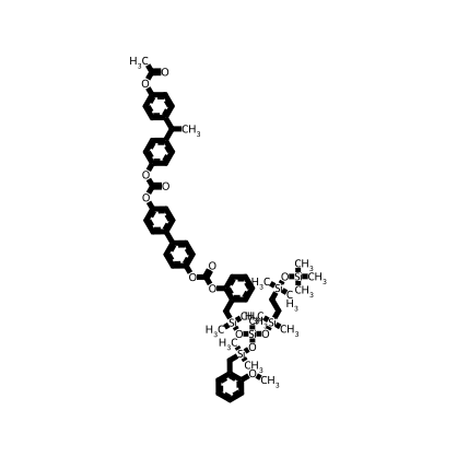 COc1ccccc1C[Si](C)(C)O[Si](C)(O[Si](C)(C)CC[Si](C)(C)O[Si](C)(C)C)O[Si](C)(C)Cc1ccccc1OC(=O)Oc1ccc(-c2ccc(OC(=O)Oc3ccc(C(C)c4ccc(OC(C)=O)cc4)cc3)cc2)cc1